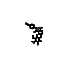 COC1=C(OC)C(=O)C(Cc2ccc(O)c(C(=O)Nc3ccc(C#N)cc3)c2)=C(C)C1=O